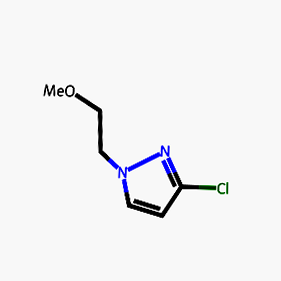 COCCn1ccc(Cl)n1